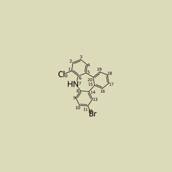 Clc1cccc2c1Nc1ccc(Br)cc1-c1ccccc1-2